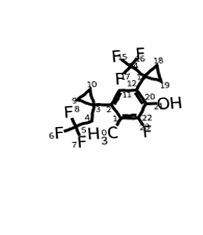 Cc1c(C2(CC(F)(F)F)CC2)cc(C2(C(F)(F)F)CC2)c(O)c1F